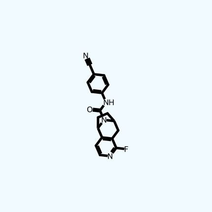 N#Cc1ccc(NC(=O)N2C3CCC2c2ccnc(F)c2C3)cc1